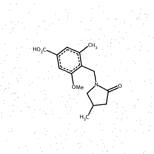 COc1cc(C(=O)O)cc(C)c1CN1CC(C)CC1=O